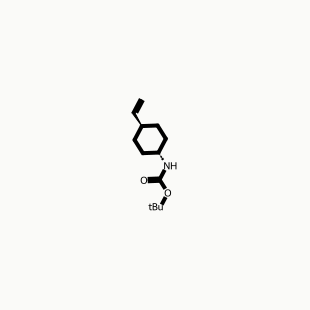 C=C[C@H]1CC[C@H](NC(=O)OC(C)(C)C)CC1